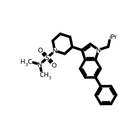 CC(C)Cn1cc(C2CCCN(S(=O)(=O)N(C)C)C2)c2ccc(-c3ccccc3)cc21